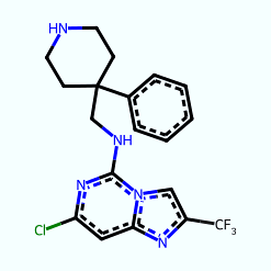 FC(F)(F)c1cn2c(NCC3(c4ccccc4)CCNCC3)nc(Cl)cc2n1